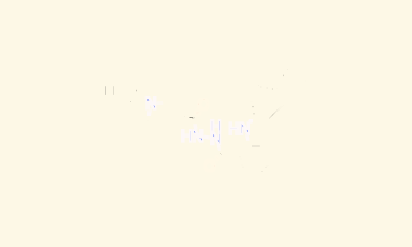 O=C(NNC(=O)[C@H]1CCN(C(=O)O)C1)c1ccccc1Nc1ccc(C(F)(F)F)cc1